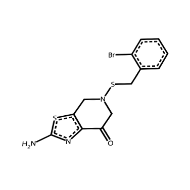 Nc1nc2c(s1)CN(SCc1ccccc1Br)CC2=O